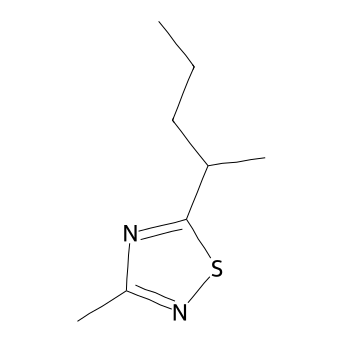 CCCC(C)c1nc(C)ns1